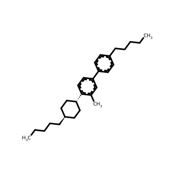 CCCCCc1ccc(-c2ccc([C@H]3CC[C@H](CCCCC)CC3)c(C)c2)cc1